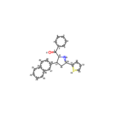 O=C(c1ccccc1)C1N=C(c2cccs2)CC1c1ccc2ccccc2c1